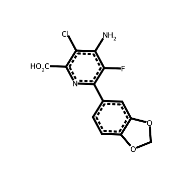 Nc1c(F)c(-c2ccc3c(c2)OCO3)nc(C(=O)O)c1Cl